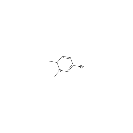 CC1C=CC(Br)=CN1C